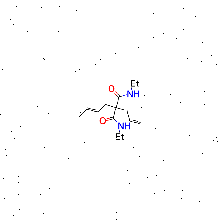 C=CCC(CC=CC)(C(=O)NCC)C(=O)NCC